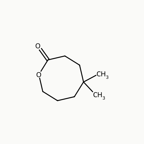 CC1(C)CCCOC(=O)CC1